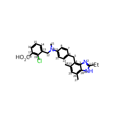 CCc1nc2c(Cc3ccc(N(C)Cc4cccc(C(=O)O)c4Cl)cc3)c(C)cc(C)c2[nH]1